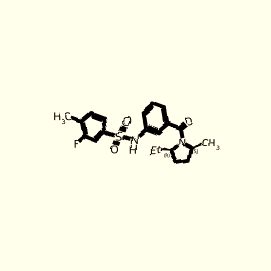 CC[C@@H]1CC[C@H](C)N1C(=O)c1cccc(NS(=O)(=O)c2ccc(C)c(F)c2)c1